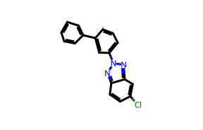 Clc1ccc2nn(-c3cc[c]c(-c4ccccc4)c3)nc2c1